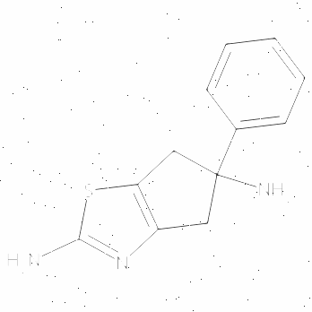 Nc1nc2c(s1)CC(N)(c1ccccc1)C2